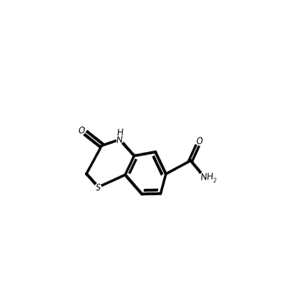 NC(=O)c1ccc2c(c1)NC(=O)CS2